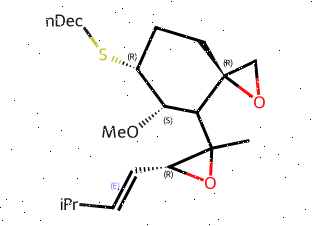 CCCCCCCCCCS[C@@H]1CC[C@]2(CO2)C(C2(C)O[C@@H]2/C=C/C(C)C)[C@@H]1OC